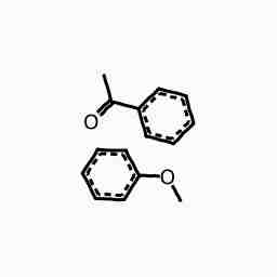 CC(=O)c1ccccc1.COc1ccccc1